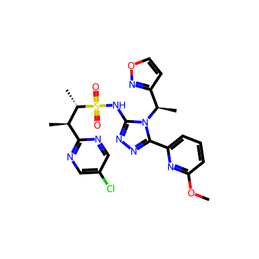 COc1cccc(-c2nnc(NS(=O)(=O)[C@@H](C)[C@H](C)c3ncc(Cl)cn3)n2[C@H](C)c2ccon2)n1